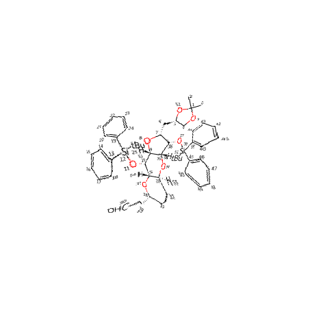 CC1(C)OC[C@@H](C[C@H]2O[C@H]3[C@@H](O[Si](c4ccccc4)(c4ccccc4)C(C)(C)C)[C@H]4O[C@@H](CC=O)CC[C@@H]4O[C@H]3[C@H]2O[Si](c2ccccc2)(c2ccccc2)C(C)(C)C)O1